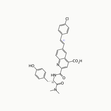 CN(C)C(=O)[C@H](Cc1ccc(O)cc1)NC(=O)c1cc(C(=O)O)c2cc(/C=C/c3ccc(Cl)cc3)ccc2n1